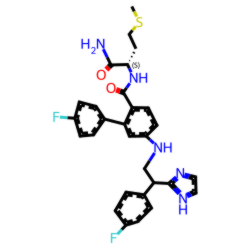 CSCC[C@H](NC(=O)c1ccc(NCC(c2ccc(F)cc2)c2ncc[nH]2)cc1-c1ccc(F)cc1)C(N)=O